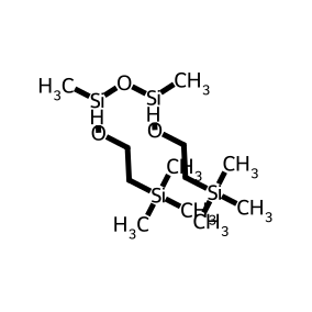 C[SiH](OCC[Si](C)(C)C)O[SiH](C)OCC[Si](C)(C)C